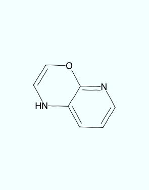 C1=COc2ncccc2N1